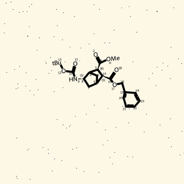 COC(=O)[C@@H]1C2CC(C[C@@H]2NC(=O)OC(C)(C)C)[C@@H]1C(=O)OCc1ccccc1